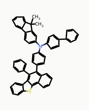 CC1(C)c2ccccc2-c2ccc(N(c3ccc(-c4ccccc4)cc3)c3ccc(-c4c(-c5ccccc5)c5c6ccccc6sc5c5ccccc45)cc3)cc21